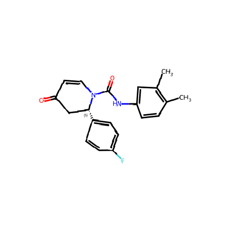 Cc1ccc(NC(=O)N2C=CC(=O)C[C@H]2c2ccc(F)cc2)cc1C